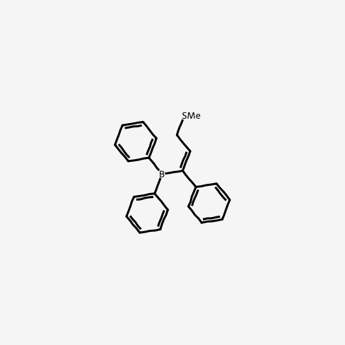 CSC/C=C(\B(c1ccccc1)c1ccccc1)c1ccccc1